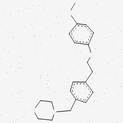 COc1ccc(OCCc2ccc(CN3CCNCC3)cc2)cc1